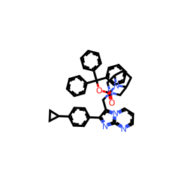 O=C(OC(c1ccccc1)(c1ccccc1)c1ccccc1)N1C2CCC1CN(Cc1c(-c3ccc(C4CC4)cc3)nc3ncccn13)C2